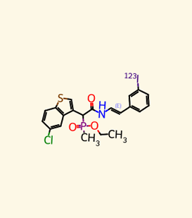 CCOP(C)(=O)C(C(=O)N/C=C/c1cccc([123I])c1)c1csc2ccc(Cl)cc12